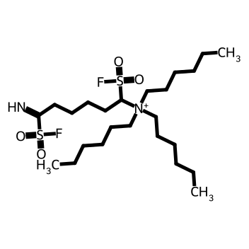 CCCCCC[N+](CCCCCC)(CCCCCC)C(CCCCC(=N)S(=O)(=O)F)S(=O)(=O)F